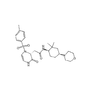 Cc1ccc(S(=O)(=O)N2C=CNC(=O)[C@H]2CC(=O)N[C@@H]2CC[C@H](N3CCOCC3)CC2(C)C)cc1